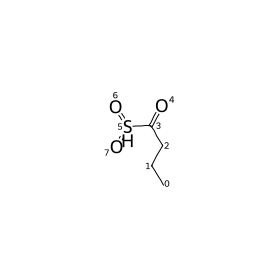 CCCC(=O)[SH](=O)=O